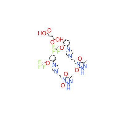 Cc1n[nH]c(=O)n(CCCN2CCN(c3ccccc3OCC(F)(F)F)CC2)c1=O.Cc1n[nH]c(=O)n(CCCN2CCN(c3ccccc3OCC(F)(F)F)CC2)c1=O.O=C(O)C=CC(=O)O